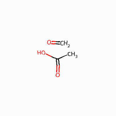 C=O.CC(=O)O